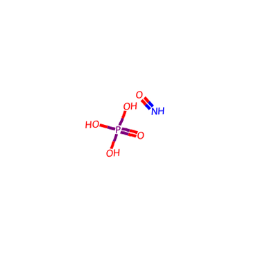 N=O.O=P(O)(O)O